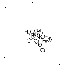 CC(C)N1N=C(C2CCCCC2)c2ccc(OCc3ccccc3)cc2N(c2ccc(CC3=NCCN3)cc2)C1=O